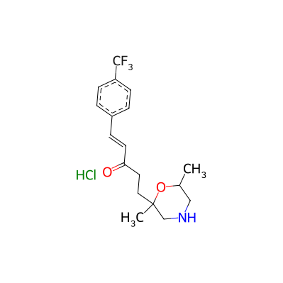 CC1CNCC(C)(CCC(=O)/C=C/c2ccc(C(F)(F)F)cc2)O1.Cl